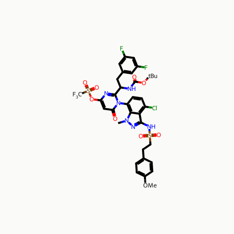 COc1ccc(CCS(=O)(=O)Nc2nn(C)c3c(-n4c(C(Cc5cc(F)cc(F)c5)NC(=O)OC(C)(C)C)nc(OS(=O)(=O)C(F)(F)F)cc4=O)ccc(Cl)c23)cc1